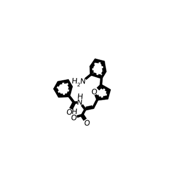 Nc1ccccc1-c1ccc(C=C(NC(=O)c2ccccc2)C(=O)O)o1